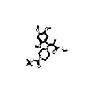 C=Nc1cc(OC)c(OC)cc1/C(=C(\C)C(=O)OCC)N1CCCN(C(=O)OC(C)(C)C)CC1